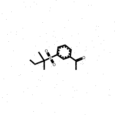 CCC(C)(C)S(=O)(=O)c1cccc(C(C)=O)c1